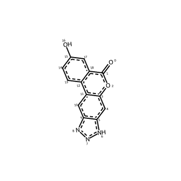 O=c1oc2cc3[nH]nnc3cc2c2ccc(O)cc12